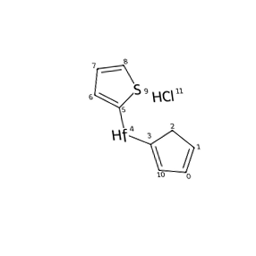 C1=CC[C]([Hf][c]2cccs2)=C1.Cl